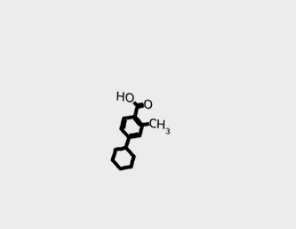 Cc1cc(C2CCCCC2)ccc1C(=O)O